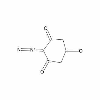 [N-]=[N+]=C1C(=O)CC(=O)CC1=O